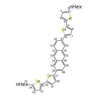 CCCCCCc1ccc(-c2ccc(-c3ccc4cc5cc(-c6ccc(-c7ccc(CCCCCC)s7)s6)ccc5cc4c3)s2)s1